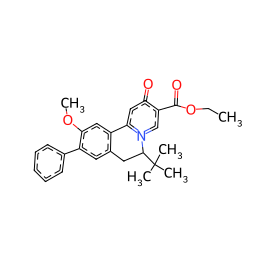 CCOC(=O)c1cn2c(cc1=O)-c1cc(OC)c(-c3ccccc3)cc1CC2C(C)(C)C